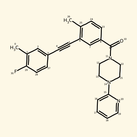 Cc1cc(C#Cc2cc(C(=O)N3CCN(c4ccccn4)CC3)ccc2C)ccc1F